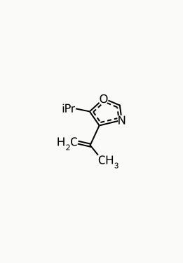 C=C(C)c1ncoc1C(C)C